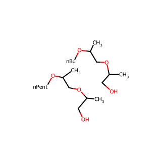 CCCCCOC(C)COC(C)CO.CCCCOC(C)COC(C)CO